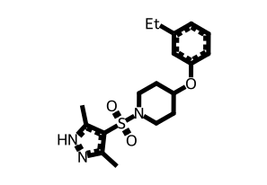 CCc1cccc(OC2CCN(S(=O)(=O)c3c(C)n[nH]c3C)CC2)c1